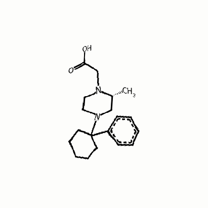 C[C@@H]1CN(C2(c3ccccc3)CCCCC2)CCN1CC(=O)O